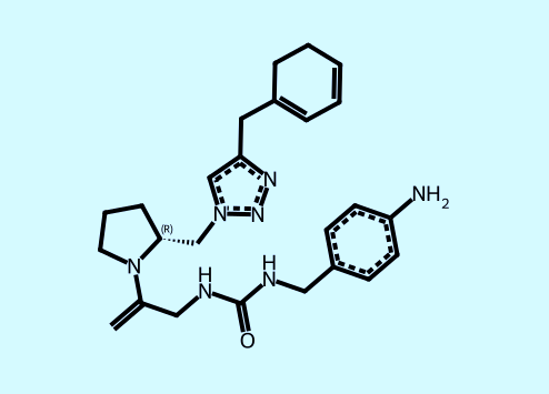 C=C(CNC(=O)NCc1ccc(N)cc1)N1CCC[C@@H]1Cn1cc(CC2=CC=CCC2)nn1